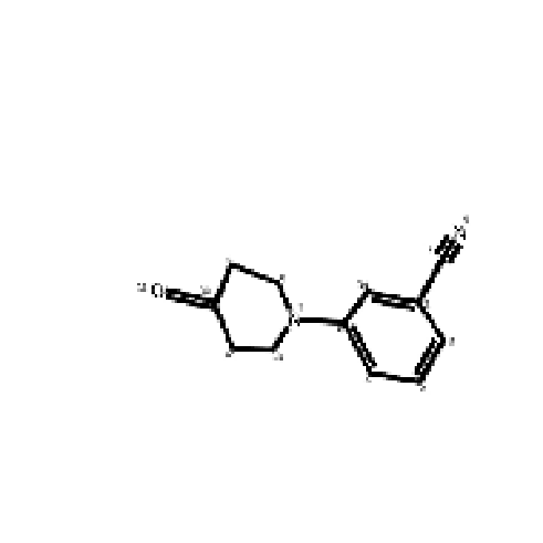 N#Cc1cccc(N2CCC(=O)CC2)c1